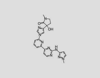 CN1CCC(O)(c2cn(-c3cccc(-c4ccnc(Nc5ccn(C)n5)n4)n3)cn2)C1=O